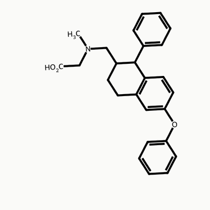 CN(CC(=O)O)CC1CCc2cc(Oc3ccccc3)ccc2C1c1ccccc1